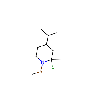 CSN1CCC(C(C)C)CC1(C)F